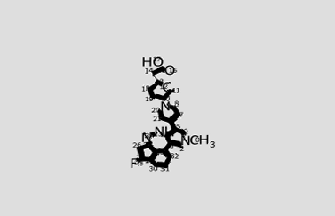 CN1C=C2C(=C(C3=CCN([C@H]4CC[C@@H](CC(=O)O)CC4)CC3)C1)NN=C1C=C(F)c3cccc2c31